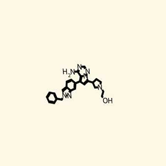 Nc1ncnn2c(C3CCN(CCO)C3)cc(-c3ccc4cn(Cc5ccccc5)nc4c3)c12